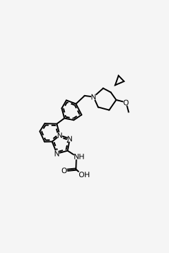 C1CC1.COC1CCN(Cc2ccc(-c3cccc4nc(NC(=O)O)nn34)cc2)CC1